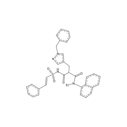 CCN(C(=O)C(Cc1cnn(Cc2ccccc2)c1)C(=O)NS(=O)(=O)C=Cc1ccccc1)c1cccc2ccccc12